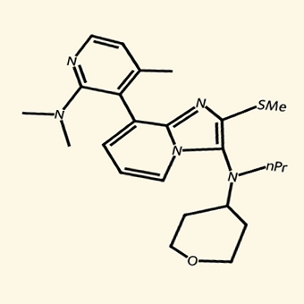 CCCN(c1c(SC)nc2c(-c3c(C)ccnc3N(C)C)cccn12)C1CCOCC1